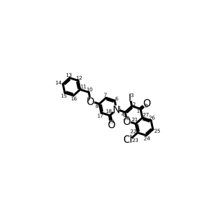 O=c1c(I)c(-n2ccc(OCc3ccccc3)cc2=O)oc2c(Cl)cccc12